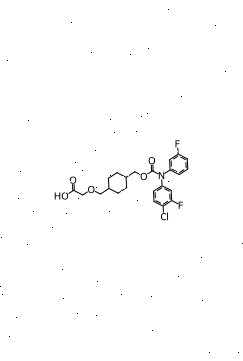 O=C(O)COCC1CCC(COC(=O)N(c2cccc(F)c2)c2ccc(Cl)c(F)c2)CC1